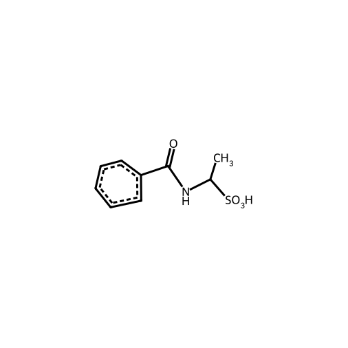 CC(NC(=O)c1ccccc1)S(=O)(=O)O